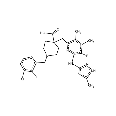 Cc1cc(Nc2nc(CC3(C(=O)O)CCN(Cc4cccc(Cl)c4F)CC3)c(C)c(C)c2F)n[nH]1